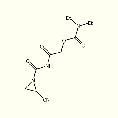 CCN(CC)C(=O)OCC(=O)NC(=O)N1CC1C#N